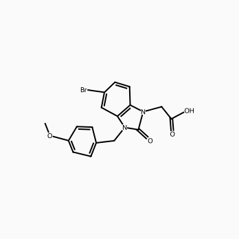 COc1ccc(Cn2c(=O)n(CC(=O)O)c3ccc(Br)cc32)cc1